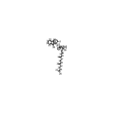 C=C(C)C(CCC(=O)NC(C)CSC/C=C(\C)CC/C=C(\C)CCC=C(C)C)n1c(=C)c2ccccc2c1=C